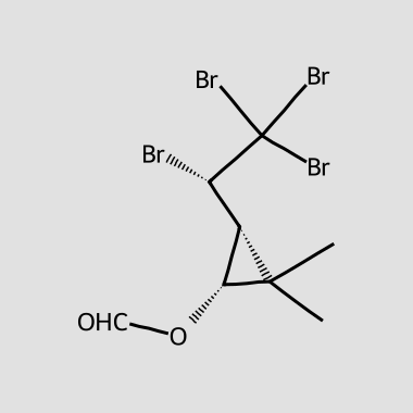 CC1(C)[C@@H]([C@H](Br)C(Br)(Br)Br)[C@H]1OC=O